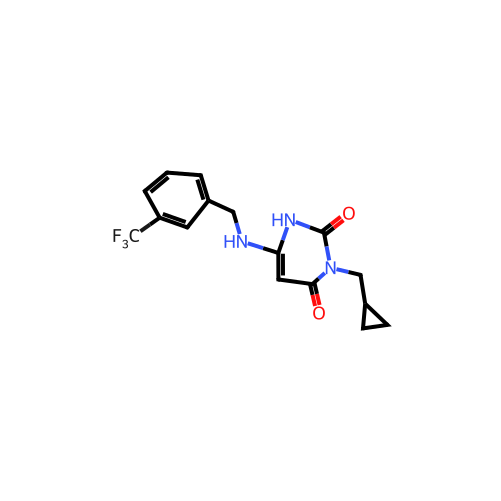 O=c1cc(NCc2cccc(C(F)(F)F)c2)[nH]c(=O)n1CC1CC1